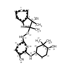 CC[C@@]1(C)c2ccccc2NC1(C)ONc1ncc(C#N)c(N[C@@H]2CC[C@H](O)C(C)(C)C2)n1